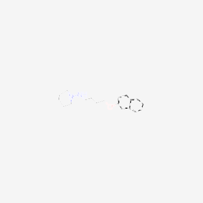 c1ccc2cc(OCCCCNN3CCCCC3)ccc2c1